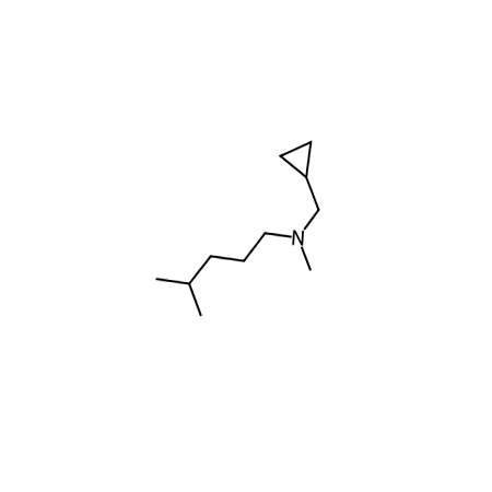 CC(C)CCCN(C)CC1CC1